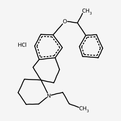 CCCN1CCCCC12CCc1cc(OC(C)c3ccccc3)ccc1C2.Cl